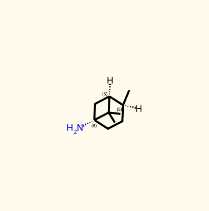 C[C@H]1CC[C@@]2(N)C[C@@H]1C2(C)C